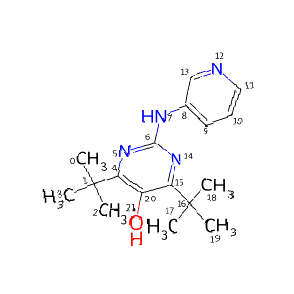 CC(C)(C)c1nc(Nc2cccnc2)nc(C(C)(C)C)c1O